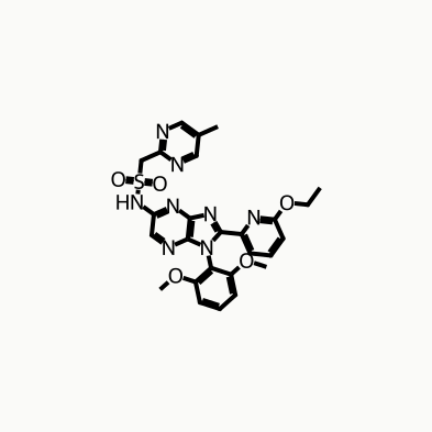 CCOc1cccc(-c2nc3nc(NS(=O)(=O)Cc4ncc(C)cn4)cnc3n2-c2c(OC)cccc2OC)n1